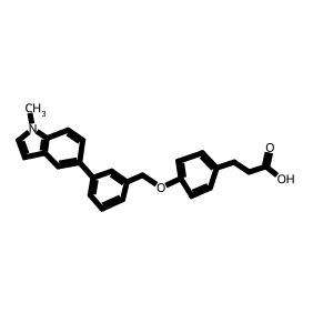 Cn1ccc2cc(-c3cccc(COc4ccc(CCC(=O)O)cc4)c3)ccc21